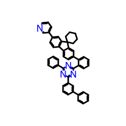 c1ccc(-c2cccc(-c3nc(-c4ccccc4)nc(-c4ccccc4-c4ccc5c(c4)C4(CCCCC4)c4cc(-c6cccnc6)ccc4-5)n3)c2)cc1